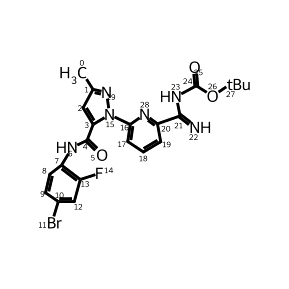 Cc1cc(C(=O)Nc2ccc(Br)cc2F)n(-c2cccc(C(=N)NC(=O)OC(C)(C)C)n2)n1